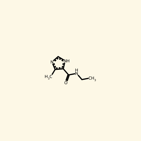 CCNC(=O)c1[nH]cnc1C